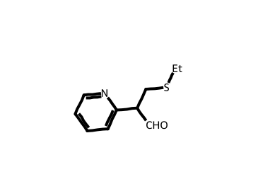 CCSCC(C=O)c1ccccn1